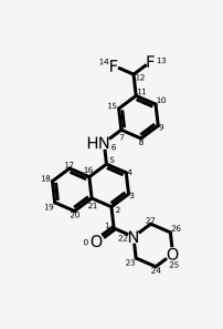 O=C(c1ccc(Nc2cccc(C(F)F)c2)c2ccccc12)N1CCOCC1